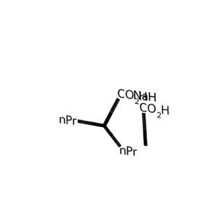 CC(=O)O.CCCC(CCC)C(=O)O.[NaH]